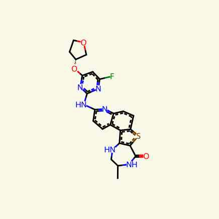 CC1CNc2c(sc3ccc4nc(Nc5nc(F)cc(O[C@@H]6CCOC6)n5)ccc4c23)C(=O)N1